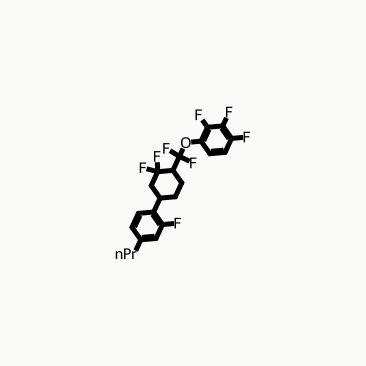 CCCc1ccc(C2CCC(C(F)(F)Oc3ccc(F)c(F)c3F)C(F)(F)C2)c(F)c1